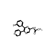 CC(=O)Nc1cnc(-c2ccncc2)c(-c2cccc(F)c2)n1